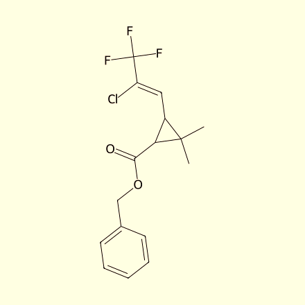 CC1(C)C(C=C(Cl)C(F)(F)F)C1C(=O)OCc1ccccc1